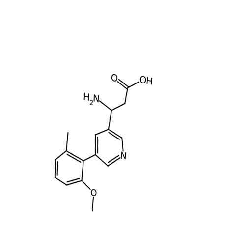 COc1cccc(C)c1-c1cncc(C(N)CC(=O)O)c1